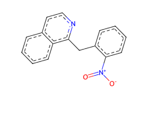 O=[N+]([O-])c1ccccc1Cc1nccc2ccccc12